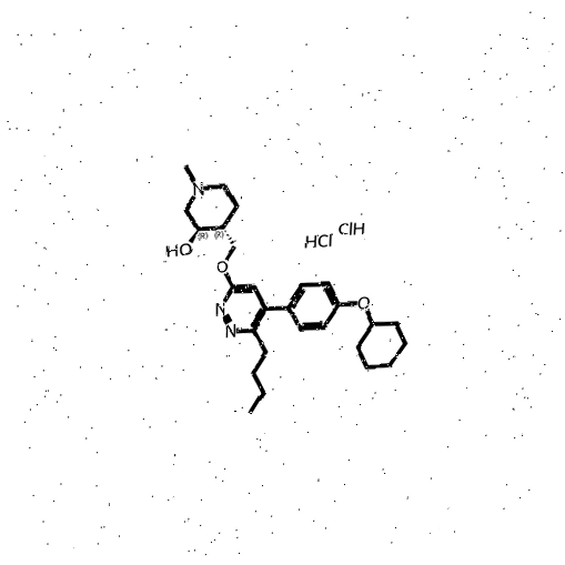 CCCCc1nnc(OC[C@H]2CCN(C)C[C@@H]2O)cc1-c1ccc(OC2CCCCC2)cc1.Cl.Cl